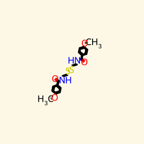 COc1ccc(C(=O)NCCSSCCNC(=O)c2ccc(OC)cc2)cc1